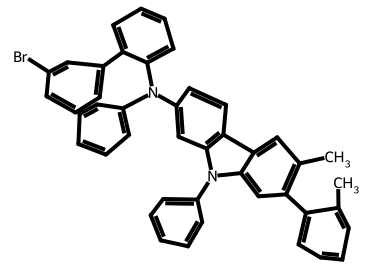 Cc1ccccc1-c1cc2c(cc1C)c1ccc(N(c3ccccc3)c3ccccc3-c3cccc(Br)c3)cc1n2-c1ccccc1